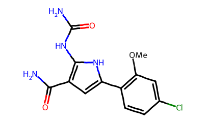 COc1cc(Cl)ccc1-c1cc(C(N)=O)c(NC(N)=O)[nH]1